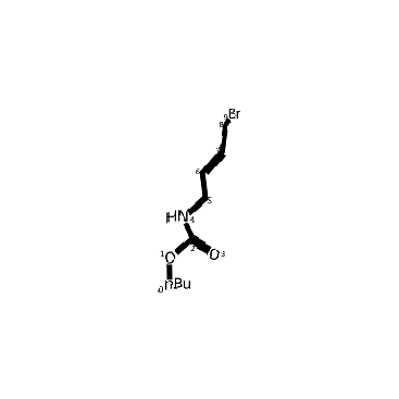 CCCCOC(=O)NC/C=C/CBr